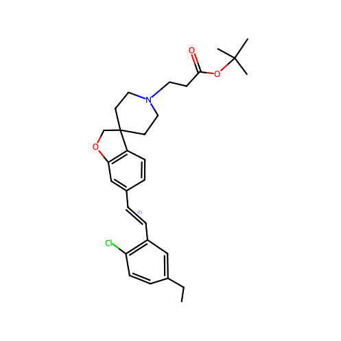 CCc1ccc(Cl)c(/C=C/c2ccc3c(c2)OCC32CCN(CCC(=O)OC(C)(C)C)CC2)c1